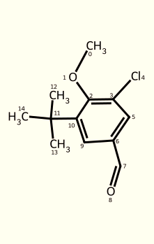 COc1c(Cl)cc(C=O)cc1C(C)(C)C